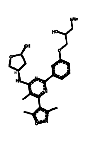 CNCC(O)COc1cccc(-c2nc(N[C@H]3COC(O)C3)c(C)c(-c3c(C)noc3C)n2)c1